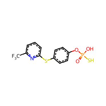 O=P(O)(S)Oc1ccc(Sc2cccc(C(F)(F)F)n2)cc1